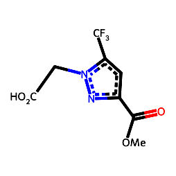 COC(=O)c1cc(C(F)(F)F)n(CC(=O)O)n1